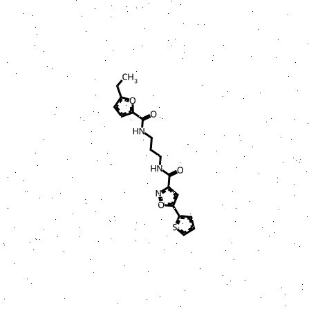 CCc1ccc(C(=O)NCCCNC(=O)c2cc(-c3cccs3)on2)o1